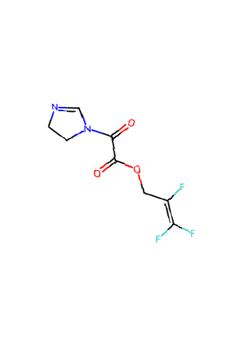 O=C(OCC(F)=C(F)F)C(=O)N1C=NCC1